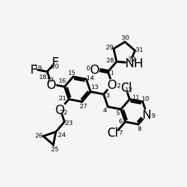 O=C(OC(Cc1c(Cl)cncc1Cl)c1ccc(OC(F)F)c(OCC2CC2)c1)C1CCCN1